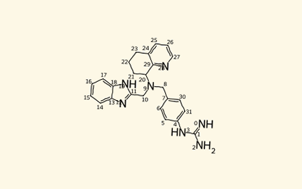 N=C(N)Nc1ccc(CN(Cc2nc3ccccc3[nH]2)C2CCCc3cccnc32)cc1